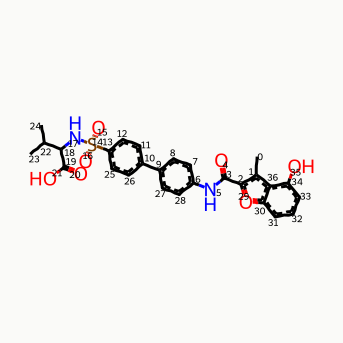 Cc1c(C(=O)Nc2ccc(-c3ccc(S(=O)(=O)NC(C(=O)O)C(C)C)cc3)cc2)oc2cccc(O)c12